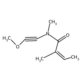 C/C=C(/C)C(=O)N(C)C#COC